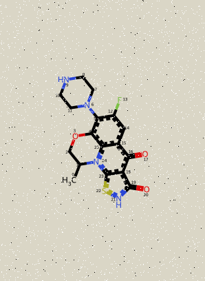 CC1COc2c(N3CCNCC3)c(F)cc3c(=O)c4c(=O)[nH]sc4n1c23